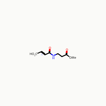 COC(=O)CCNC(=O)/C=C/C(=O)O